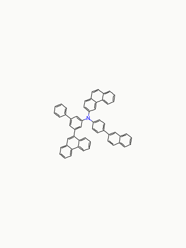 c1ccc(-c2cc(-c3cc4ccccc4c4ccccc34)cc(N(c3ccc(-c4ccc5ccccc5c4)cc3)c3ccc4ccc5ccccc5c4c3)c2)cc1